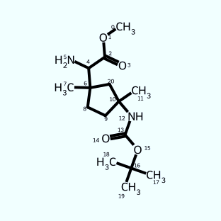 COC(=O)C(N)C1(C)CCC(C)(NC(=O)OC(C)(C)C)C1